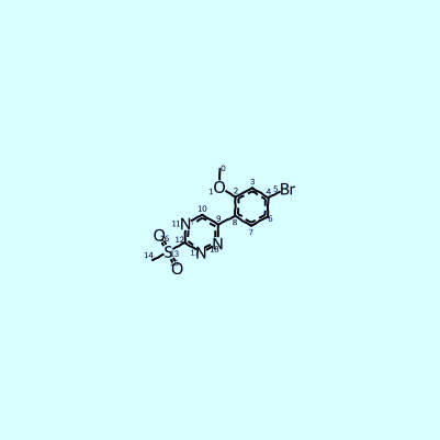 COc1cc(Br)ccc1-c1cnc(S(C)(=O)=O)nn1